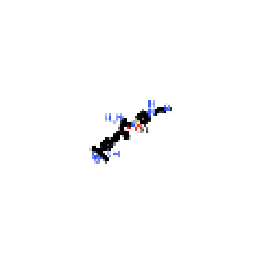 C=C/C(C#Cc1cccc(NC(=C)c2cc(C)nn2C)c1)=C\C(=C/N)C(=O)/N=S(\OCC)c1ccc(NCCCN(C)C)cc1